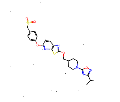 CC(C)c1noc(N2CCC(COc3nc4ccc(Oc5ccc(C[SH](=O)=O)cc5)nc4s3)CC2)n1